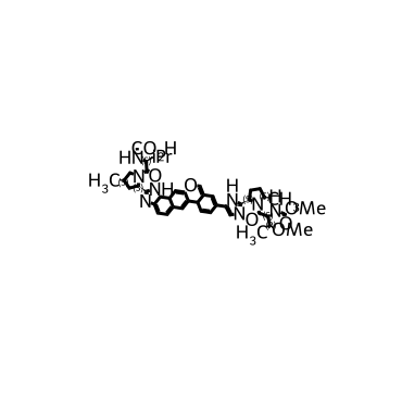 COC(=O)N[C@H](C(=O)N1[C@@H](C)CC[C@H]1c1ncc(C2=CC3=COC4=CC5C(=CC=C6N=C([C@@H]7C[C@H](C)CN7C(=O)[C@@H](NC(=O)O)C(C)C)NC65)C=C4C3C=C2)[nH]1)[C@@H](C)OC